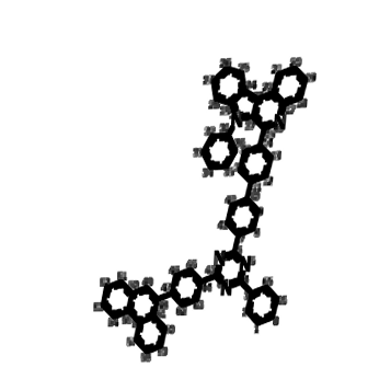 c1ccc(-c2nc(-c3ccc(-c4ccc(-c5nc6ccccc6c6c7ccccc7n(-c7ccccc7)c56)cc4)cc3)nc(-c3ccc(-c4cc5ccccc5c5ccccc45)cc3)n2)cc1